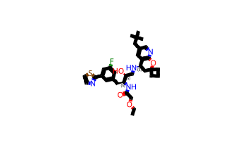 CCOCC(=O)N[C@@H](Cc1cc(F)cc(-c2nccs2)c1)[C@@H](O)CN[C@H]1CC2(CCC2)Oc2ncc(CC(C)(C)C)cc21